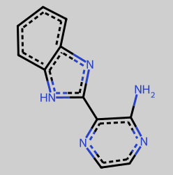 Nc1nccnc1-c1nc2ccccc2[nH]1